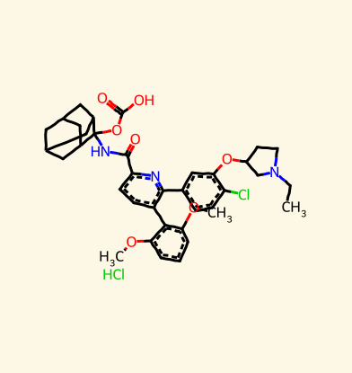 CCN1CCC(Oc2cc(-c3nc(C(=O)NC4(OC(=O)O)C5CC6CC(C5)CC4C6)ccc3-c3c(OC)cccc3OC)ccc2Cl)C1.Cl